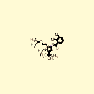 CC(C)OCCn1/c(=N/C(=O)c2cccc(Cl)c2Cl)cc(C(C)(C)C)n1C